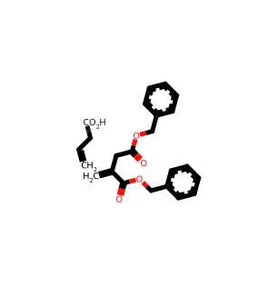 C=C(CC(=O)OCc1ccccc1)C(=O)OCc1ccccc1.C=CCC(=O)O